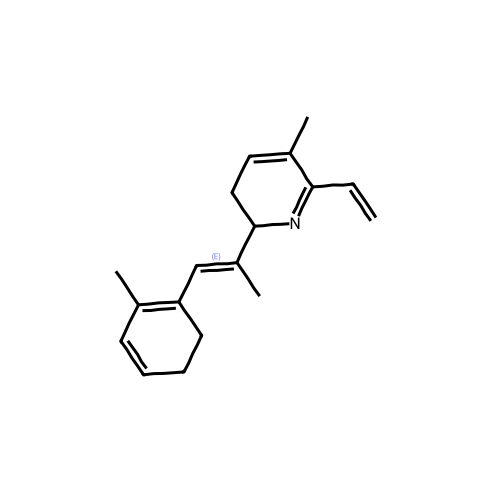 C=CC1=NC(/C(C)=C/C2=C(C)C=CCC2)CC=C1C